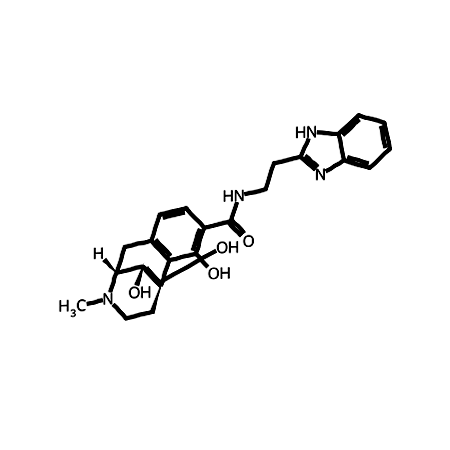 CN1CC[C@]23CC(O)CC[C@@]2(O)[C@H]1Cc1ccc(C(=O)NCCc2nc4ccccc4[nH]2)c(O)c13